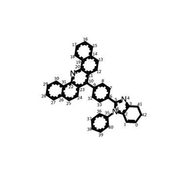 C1=Cc2c(nc(-c3ccc(-c4c5ccc6ccccc6c5nc5c4ccc4ccccc45)cc3)n2-c2ccccc2)CC1